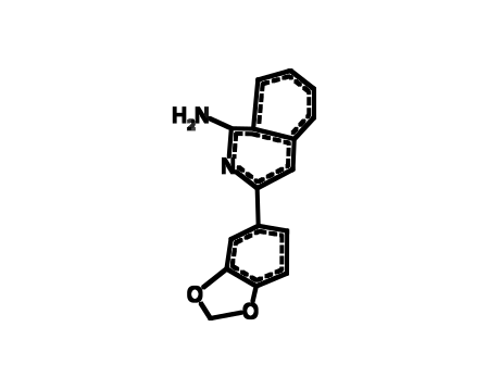 Nc1nc(-c2ccc3c(c2)OCO3)cc2ccccc12